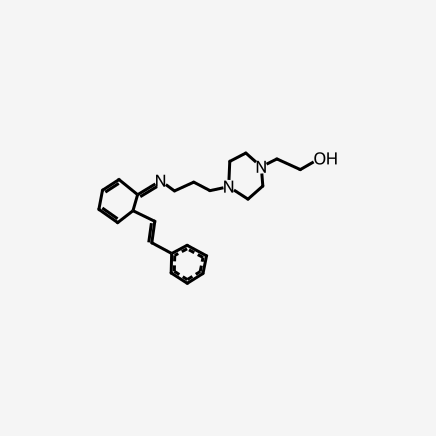 OCCN1CCN(CCCN=C2C=CC=CC2C=Cc2ccccc2)CC1